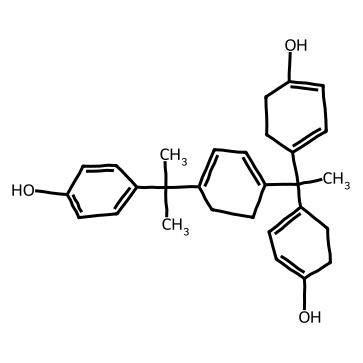 CC(C1=CC=C(O)CC1)(C1=CC=C(O)CC1)C1=CC=C(C(C)(C)c2ccc(O)cc2)CC1